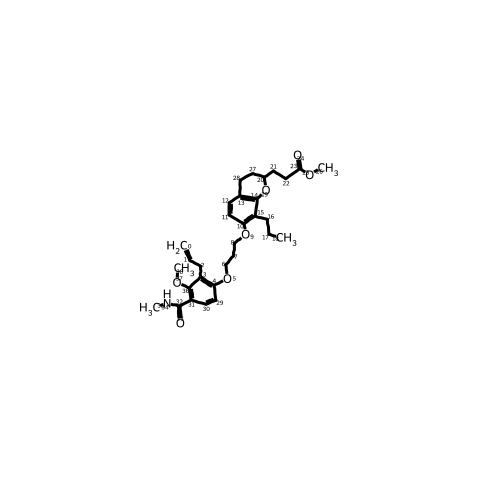 C=CCc1c(OCCCOc2ccc3c(c2CCC)OC(CCC(=O)OC)CC3)ccc(C(=O)NC)c1OC